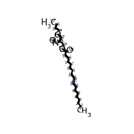 CCCCCCCC/C=C/CCCCCCCC(=O)OC[C@H](COCCCC)N=O